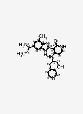 CN=C(N)c1cc(C)c2nc(-c3c(NC(CO)Cc4ccncc4)cc[nH]c3=O)[nH]c2c1